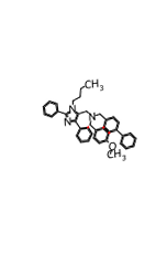 CCCCn1c(-c2ccccc2)nc(-c2ccccc2)c1CN(Cc1ccc(OC)cc1)Cc1ccc(-c2ccccc2)cc1